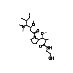 CCC(C)C(C(CC(=O)N1CCCC1C(OC)C(C)C(=O)NCCO)OC)N(C)C